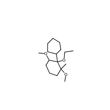 CCOC1(C2CCCCC2)C(OC)CCCC1(C)OC